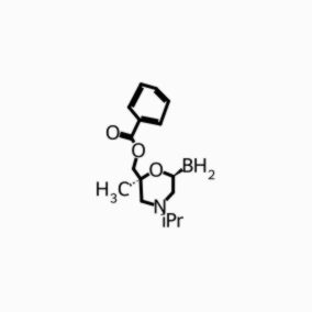 B[C@H]1CN(C(C)C)C[C@@](C)(COC(=O)c2ccccc2)O1